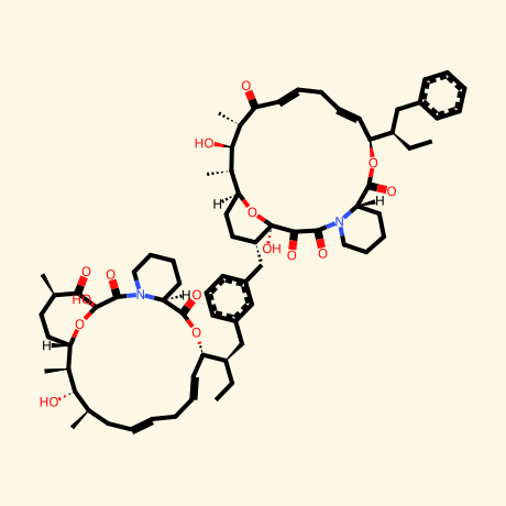 CC[C@H](Cc1ccccc1)[C@@H]1/C=C/C/C=C/C(=O)[C@@H](C)[C@H](O)[C@@H](C)[C@@H]2CC[C@@H](Cc3cccc(C[C@@H](CC)[C@@H]4/C=C/C/C=C/C[C@@H](C)[C@H](O)[C@@H](C)[C@@H]5CC[C@@H](C)C(=O)C(O)(O5)C(=O)N5CCCC[C@H]5C(=O)O4)c3)[C@@](O)(O2)C(=O)C(=O)N2CCCC[C@H]2C(=O)O1